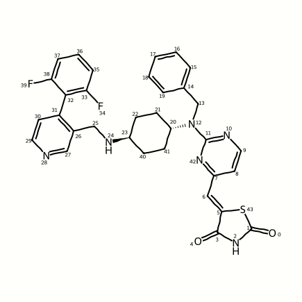 O=C1NC(=O)/C(=C/c2ccnc(N(Cc3ccccc3)[C@H]3CC[C@H](NCc4cnccc4-c4c(F)cccc4F)CC3)n2)S1